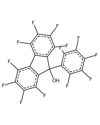 OC1(c2c(F)c(F)c(F)c(F)c2F)c2c(F)c(F)c(F)c(F)c2-c2c(F)c(F)c(F)c(F)c21